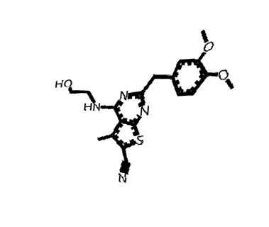 COc1ccc(Cc2nc(NCCO)c3c(C)c(C#N)sc3n2)cc1OC